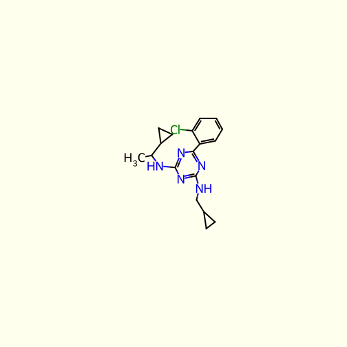 CC(Nc1nc(NCC2CC2)nc(-c2ccccc2Cl)n1)C1CC1